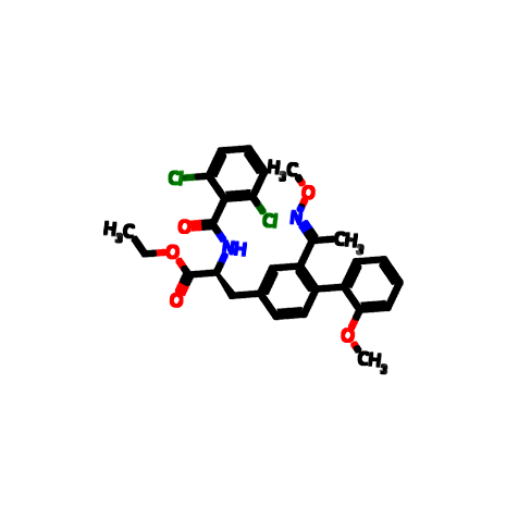 CCOC(=O)[C@H](Cc1ccc(-c2ccccc2OC)c(C(C)=NOC)c1)NC(=O)c1c(Cl)cccc1Cl